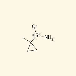 CC1([S@@+](N)[O-])CC1